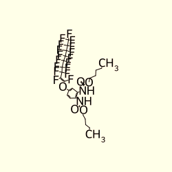 CCCCCOC(=O)Nc1ccc(OC(F)=C(F)C(F)(F)C(F)(F)C(F)(F)C(F)(F)C(F)(F)C(F)(F)C(F)(F)F)cc1NC(=O)OCCCCC